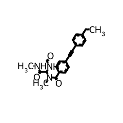 CCc1ccc(C#Cc2ccc(C(=O)N(C)C(NC=O)C(=O)NC)cc2)cc1